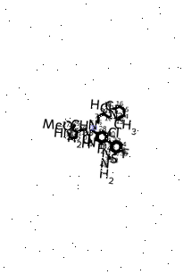 C=Nc1c(/C(=N\CCC(C)CN2C(C)CCCC2C)NCC2CCNC2(C)OC)cc(Cl)c(-c2ccc(F)c3sc(N)nc23)c1F